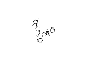 Cc1ccc(C)c(N2CCN(C(=O)[C@@H]3CN(S(=O)(=O)c4cccnc4)C[C@H]3c3cccnc3)CC2)c1